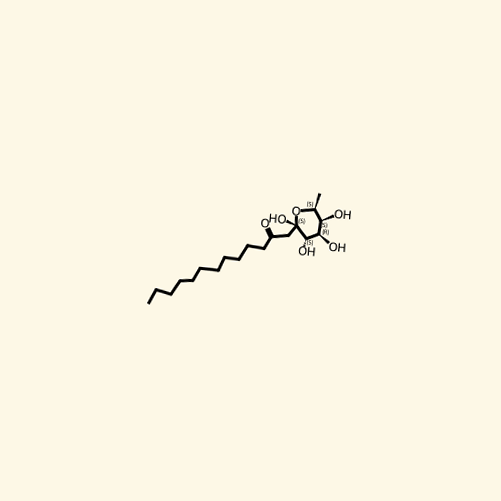 CCCCCCCCCCCC(=O)C[C@]1(O)O[C@@H](C)[C@@H](O)[C@@H](O)[C@@H]1O